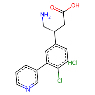 Cl.NC[C@H](CC(=O)O)c1ccc(Cl)c(-c2cccnc2)c1